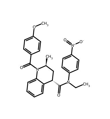 CCN(C(=O)[C@H]1C[C@H](C)N(C(=O)c2ccc(OC)cc2)c2ccccc21)c1ccc([N+](=O)[O-])cc1